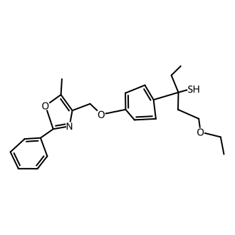 CCOCCC(S)(CC)c1ccc(OCc2nc(-c3ccccc3)oc2C)cc1